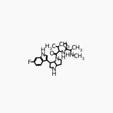 CNC(C)C(=O)NC(C(=O)N1CCC2NCC(c3c[nH]c4cc(F)ccc34)C21)C(C)C